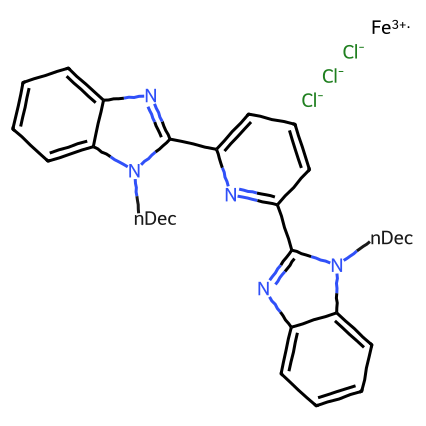 CCCCCCCCCCn1c(-c2cccc(-c3nc4ccccc4n3CCCCCCCCCC)n2)nc2ccccc21.[Cl-].[Cl-].[Cl-].[Fe+3]